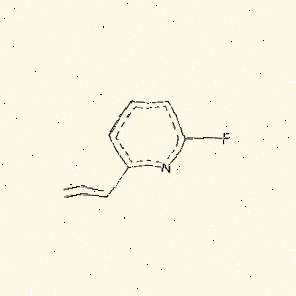 C=Cc1cccc(F)n1